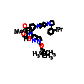 COC(=O)c1ccc(N2CC3(CC(N4CCC[C@H]4c4ccccc4C(C)C)C3)C2)cc1N1c2cc3ccn(COCC[Si](C)(C)C)c3nc2O[C@@H]2COC[C@H]21